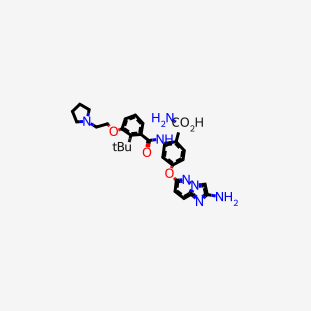 Cc1ccc(Oc2ccc3nc(N)cn3n2)cc1NC(=O)c1cccc(OCCN2CCCC2)c1C(C)(C)C.NC(=O)O